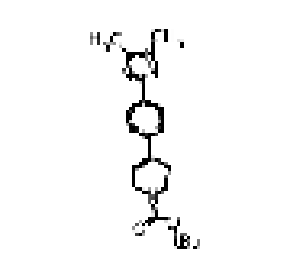 Cc1nc(-c2ccc(C3=CCN(C(=O)OC(C)(C)C)CC3)cc2)nn1C